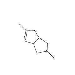 CC1=CC2CN(C)CC2C1